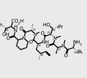 C=C[C@H](C)C[C@H](NC(=O)[C@H]([C@H](O)C(C)C)N(C)C(=O)[C@H](C)N(C)C(=O)C(N)[C@@H](C)CC)C(=O)N(C)[C@@H](C)C(=O)N1CCCCC1C(=O)NC(C(=O)O)[C@H](O)C(C)C